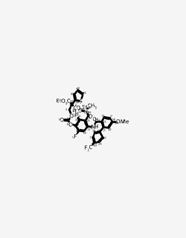 CCOC(=O)C(COC(=O)Oc1c(F)cc(NC(=O)c2ccc(OC)cc2-c2ccc(C(F)(F)F)cc2)c(C(=O)N(C)C)c1F)(C(=O)OCC)c1cccs1